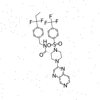 CCC(F)(F)c1ccc(CNC(=O)[C@H]2CN(c3cnc4cnccc4n3)CCN2S(=O)(=O)c2ccc(C(F)(F)F)cc2)cc1